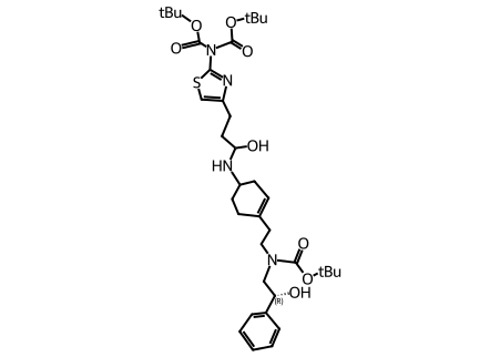 CC(C)(C)OC(=O)N(CCC1=CCC(NC(O)CCc2csc(N(C(=O)OC(C)(C)C)C(=O)OC(C)(C)C)n2)CC1)C[C@H](O)c1ccccc1